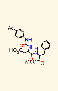 COC(=O)C(Cc1ccccc1)NC(=O)C(CC(=O)O)NC(=O)Nc1ccc(C(C)=O)cc1